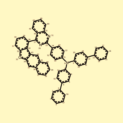 c1ccc(-c2ccc(N(c3ccc(-c4ccccc4)cc3)c3ccc(-c4nc(-c5cccc6oc7cc8ccccc8cc7c56)c5ccccc5n4)cc3)cc2)cc1